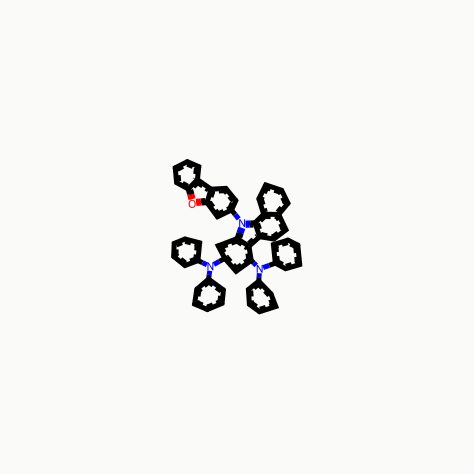 c1ccc(N(c2ccccc2)c2cc(N(c3ccccc3)c3ccccc3)c3c4ccc5ccccc5c4n(-c4ccc5c(c4)oc4ccccc45)c3c2)cc1